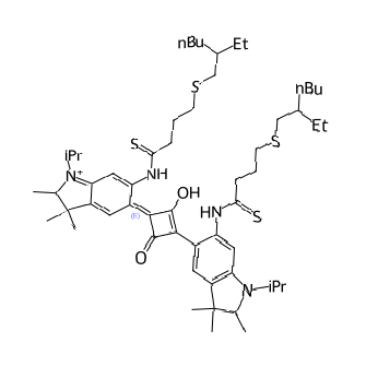 CCCCC(CC)CSCCCC(=S)Nc1cc2c(cc1C1=C(O)/C(=c3/cc4c(cc3NC(=S)CCCSCC(CC)CCCC)=[N+](C(C)C)C(C)C4(C)C)C1=O)C(C)(C)C(C)N2C(C)C